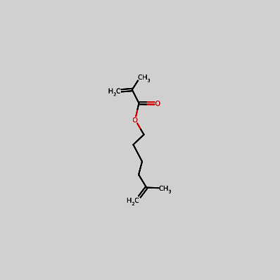 C=C(C)CCCCOC(=O)C(=C)C